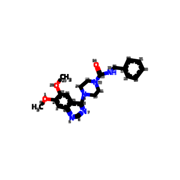 COc1cc2ncnc(N3CCN(C(=O)NCc4ccccc4)CC3)c2cc1OC